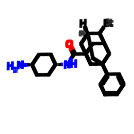 CCC1C2CC3(C(=O)N[C@H]4CC[C@H](N)CC4)C[C@H]1CC(c1ccccc1)(C2)C3